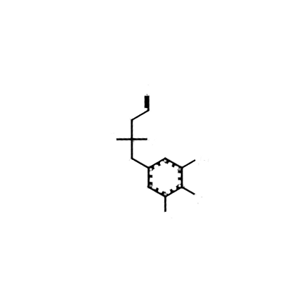 C=CCC(Cc1cc(C(C)(C)C)c(O)c(C(C)(C)C)c1)(C(=O)O)C(=O)O